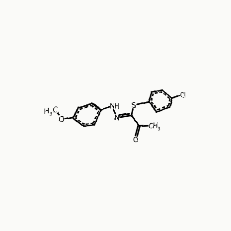 COc1ccc(NN=C(Sc2ccc(Cl)cc2)C(C)=O)cc1